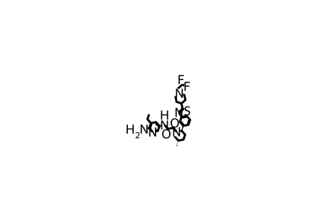 CCc1cc(NC(=O)C(=O)N2C[C@@H](C)CC[C@@H]2c2ccc3sc(C4CCN(CC(F)F)CC4)nc3c2)cnc1N